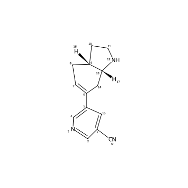 N#Cc1cncc(C2=CC[C@@H]3CCN[C@@H]3C2)c1